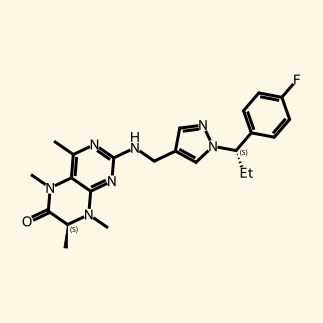 CC[C@@H](c1ccc(F)cc1)n1cc(CNc2nc(C)c3c(n2)N(C)[C@@H](C)C(=O)N3C)cn1